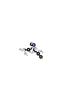 C=C(CC)c1ccc(CCN(CCC(C)(C)CCc2ccc(-c3ccc(F)cc3)cc2C)C2CCCc3ncccc32)cc1